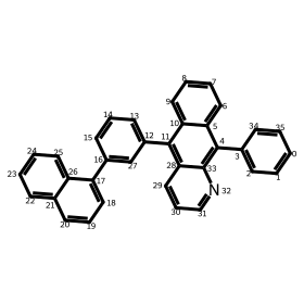 c1ccc(-c2c3ccccc3c(-c3cccc(-c4cccc5ccccc45)c3)c3cccnc23)cc1